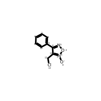 [O-][n+]1onc(-c2ccccc2)c1CCl